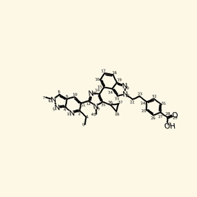 CCc1nc2nn(C)cc2cc1-c1nc(-c2cccc3nn(CCc4ccc(C(=O)O)cc4)cc23)c(C2CC2)n1C